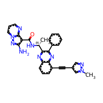 C[C@@H](NC(=O)c1c(N)nn2cccnc12)c1nc2cccc(C#Cc3cnn(C)c3)c2nc1-c1ccccc1